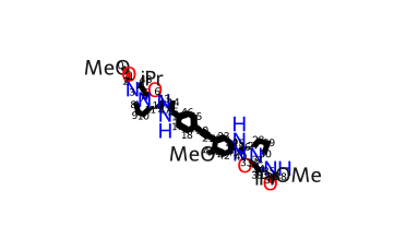 COO/C=N\[C@H](C(=O)N1CCC[C@H]1c1ncc(-c2ccc(C#Cc3cc4[nH]c([C@@H]5CCCN5C(=O)[C@@H](NC(=O)OC)C(C)C)nc4cc3OC)cc2)[nH]1)C(C)C